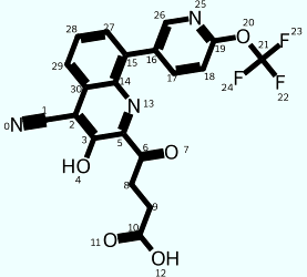 N#Cc1c(O)c(C(=O)CCC(=O)O)nc2c(-c3ccc(OC(F)(F)F)nc3)cccc12